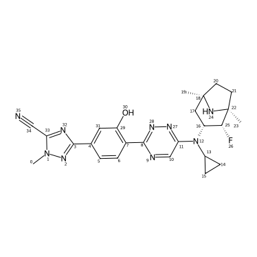 Cn1nc(-c2ccc(-c3ncc(N(C4CC4)[C@@H]4C[C@@]5(C)CC[C@](C)(N5)[C@@H]4F)nn3)c(O)c2)nc1C#N